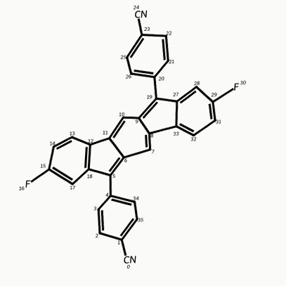 N#Cc1ccc(C2=c3cc4c(cc3-c3ccc(F)cc32)=C(c2ccc(C#N)cc2)c2cc(F)ccc2-4)cc1